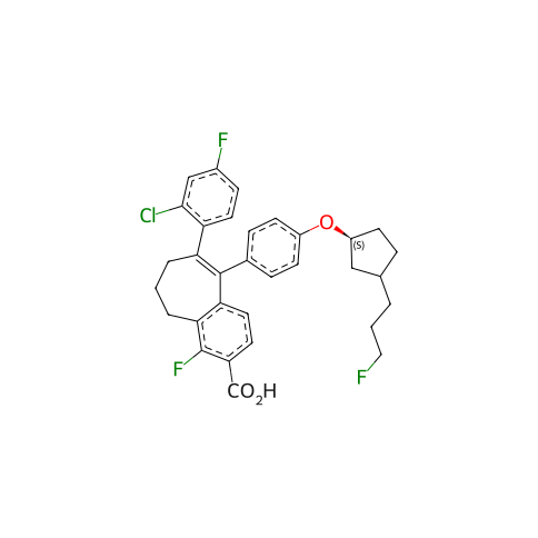 O=C(O)c1ccc2c(c1F)CCCC(c1ccc(F)cc1Cl)=C2c1ccc(O[C@H]2CCC(CCCF)C2)cc1